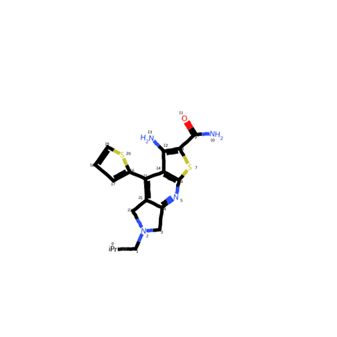 CC(C)CN1Cc2nc3sc(C(N)=O)c(N)c3c(-c3cccs3)c2C1